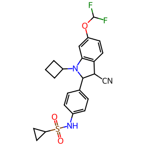 N#CC1c2ccc(OC(F)F)cc2N(C2CCC2)C1c1ccc(NS(=O)(=O)C2CC2)cc1